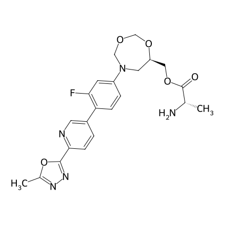 Cc1nnc(-c2ccc(-c3ccc(N4COCO[C@@H](COC(=O)[C@H](C)N)C4)cc3F)cn2)o1